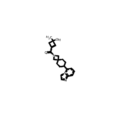 CC1(O)CC(C(=O)N2CC3(CCC(c4cccc5nccn45)CC3)C2)C1